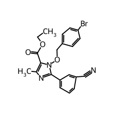 CCOC(=O)c1c(C)nc(-c2cccc(C#N)c2)n1OCc1ccc(Br)cc1